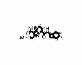 COCc1nn2c(C(=O)NC3Cc4ccccc43)ccnc2c1C(N)=O